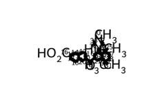 CN1CCN(c2cc(C(=O)c3ccc4cc(C(=O)O)ccc4c3)cc3c2C(C)(C)CCC3(C)C)CC1